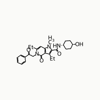 CCc1c(C(=O)N[C@H]2CC[C@H](O)CC2)n(C)c2cc(CC)n(CC(=O)c3ccccc3)c(=O)c12